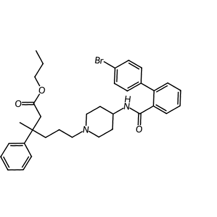 CCCOC(=O)CC(C)(CCCN1CCC(NC(=O)c2ccccc2-c2ccc(Br)cc2)CC1)c1ccccc1